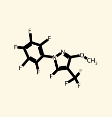 COc1nn(-c2c(F)c(F)c(F)c(F)c2F)c(F)c1C(F)(F)F